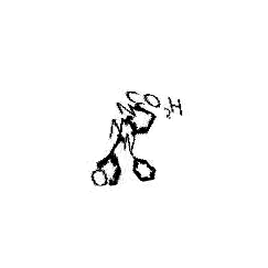 O=C(O)c1ccc2c(n1)nc(-c1ccoc1)n2-c1ccccc1